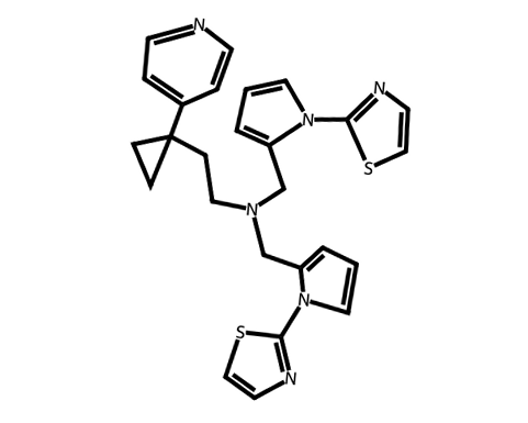 c1cc(CN(CCC2(c3ccncc3)CC2)Cc2cccn2-c2nccs2)n(-c2nccs2)c1